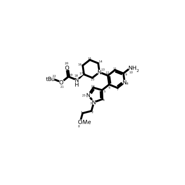 COCCn1cc(-c2cnc(N)cc2N2CCC[C@H](NC(=O)OC(C)(C)C)C2)cn1